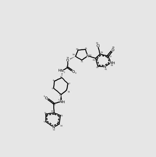 O=C(N[C@H]1CC[C@H](NC(=O)c2ccncc2)CC1)O[C@@H]1CCN(c2cn[nH]c(=O)c2Cl)C1